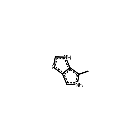 Cc1[nH]cc2nc[nH]c12